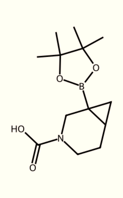 CC1(C)OB(C23CC2CCN(C(=O)O)C3)OC1(C)C